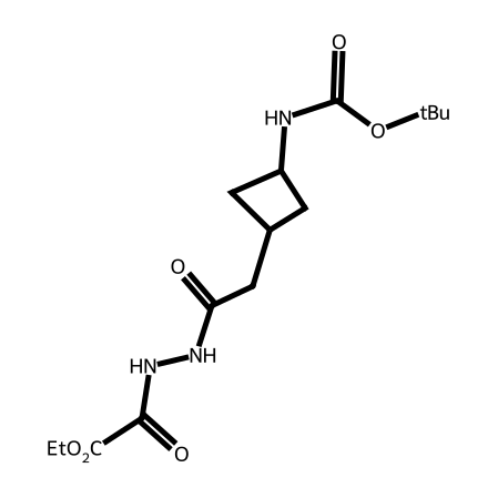 CCOC(=O)C(=O)NNC(=O)CC1CC(NC(=O)OC(C)(C)C)C1